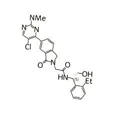 CCc1ccccc1[C@@H](CO)NC(=O)CN1Cc2ccc(-c3nc(NC)ncc3Cl)cc2C1=O